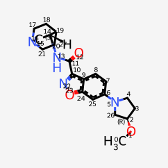 CO[C@@H]1CCN(c2ccc3c(C(=O)N[C@@H]4CN5CCC4CC5)noc3c2)C1